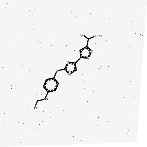 CC(=O)NC(C)c1cc(-c2cnc(Oc3ccc(NCC(C)C)cc3)s2)no1